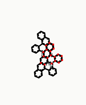 c1ccc(-c2cccc3ccccc23)c(Nc2ccccc2N(c2ccccc2Nc2ccccc2-c2cccc3ccccc23)c2ccccc2Nc2ccccc2-c2cccc3ccccc23)c1